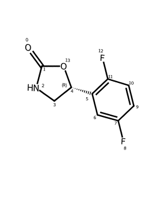 O=C1NC[C@@H](c2cc(F)ccc2F)O1